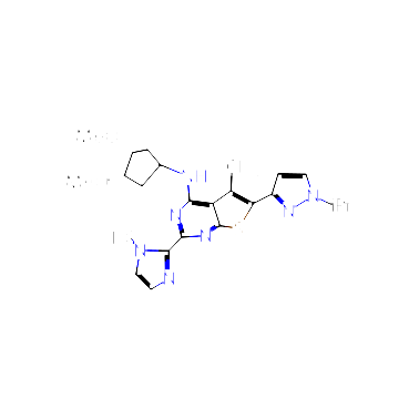 CO[C@H]1CC(Nc2nc(-c3nccn3C)nc3sc(-c4ccn(C(C)C)n4)c(C)c23)C[C@H]1OC